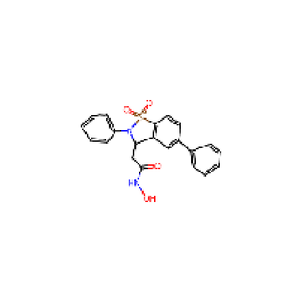 O=C(CC1c2cc(-c3ccccc3)ccc2S(=O)(=O)N1c1ccccc1)NO